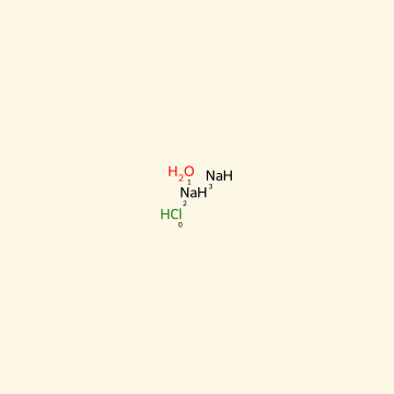 Cl.O.[NaH].[NaH]